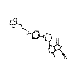 Cc1ccc([C@@H]2CCCN(c3ccc(OCCCC4OCCO4)cc3)C2)c2[nH]cc(C#N)c12